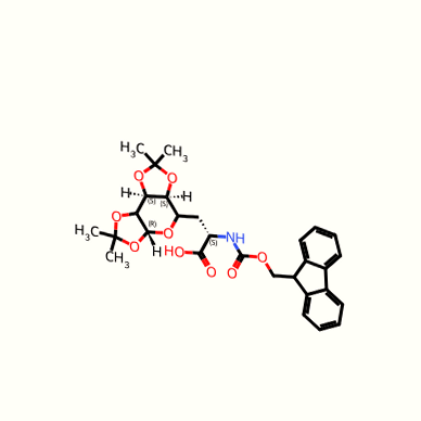 CC1(C)OC2[C@H](OC(C[C@H](NC(=O)OCC3c4ccccc4-c4ccccc43)C(=O)O)[C@@H]3OC(C)(C)O[C@H]23)O1